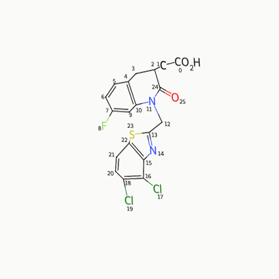 O=C(O)CC1Cc2ccc(F)cc2N(Cc2nc3c(Cl)c(Cl)ccc3s2)C1=O